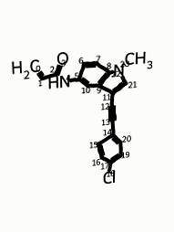 C=CC(=O)Nc1ccc2c(c1)c(C#Cc1ccc(Cl)cc1)cn2C